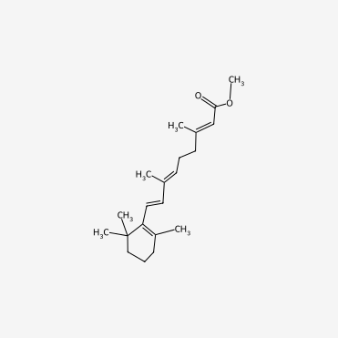 COC(=O)/C=C(\C)CC/C=C(C)/C=C/C1=C(C)CCCC1(C)C